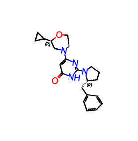 O=c1cc(N2CCO[C@H](C3CC3)C2)nc(N2CCC[C@@H]2Cc2ccccc2)[nH]1